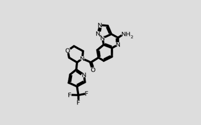 Nc1nc2ccc(C(=O)N3CCOCC3c3ccc(C(F)(F)F)cn3)cc2n2nncc12